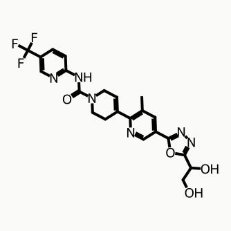 Cc1cc(-c2nnc(C(O)CO)o2)cnc1C1=CCN(C(=O)Nc2ccc(C(F)(F)F)cn2)CC1